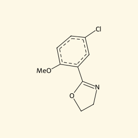 COc1ccc(Cl)cc1C1=NCCO1